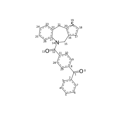 O=C(c1ccccc1)c1ccc(C(=O)N2Cc3ccsc3Cc3ccccc32)cc1